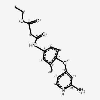 CCOC(=O)CC(=O)Nc1ccc(Oc2ccnc(N)c2)c(F)c1